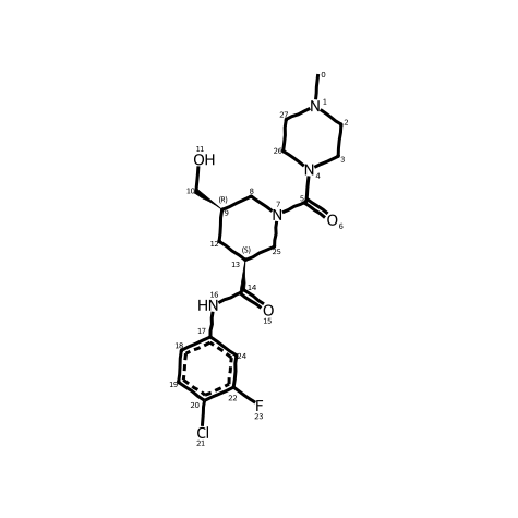 CN1CCN(C(=O)N2C[C@H](CO)C[C@H](C(=O)Nc3ccc(Cl)c(F)c3)C2)CC1